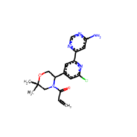 C=CC(=O)N1CC(C)(C)OCC1c1cc(Cl)nc(-c2cc(N)ncn2)c1